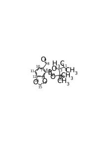 CC(C)C1OB(c2c(C=O)ccc3c2OCO3)OC1(C)C